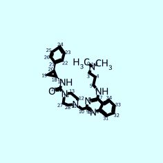 CN(C)CCCNc1nc(CN2CCN(C(=O)N[C@@H]3C[C@H]3c3ccccc3)CC2)nc2ccccc12